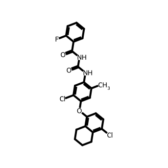 Cc1cc(Oc2ccc(Cl)c3c2CCCC3)c(Cl)cc1NC(=O)NC(=O)c1ccccc1F